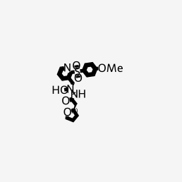 COc1ccc(S(=O)(=O)c2ncccc2CN(O)NC(=O)C[C@H]2CCCO2)cc1